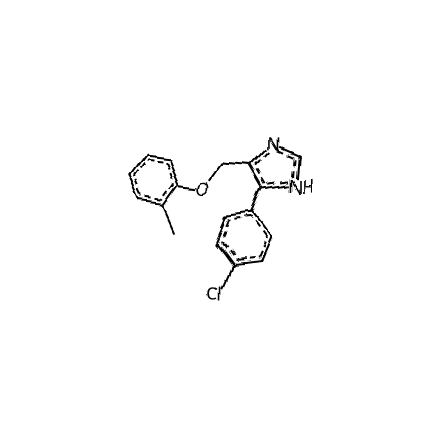 Cc1ccccc1OCc1nc[nH]c1-c1ccc(Cl)cc1